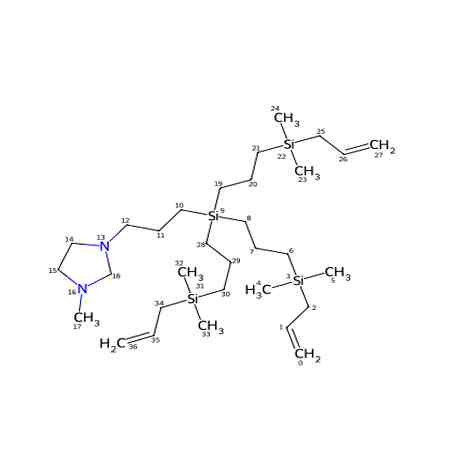 C=CC[Si](C)(C)CCC[Si](CCCN1CCN(C)C1)(CCC[Si](C)(C)CC=C)CCC[Si](C)(C)CC=C